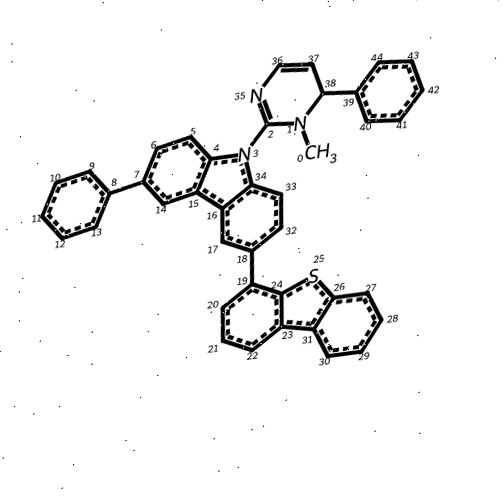 CN1C(n2c3ccc(-c4ccccc4)cc3c3cc(-c4cccc5c4sc4ccccc45)ccc32)=NC=CC1c1ccccc1